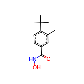 Cc1cc(C(=O)NO)ccc1C(C)(C)C